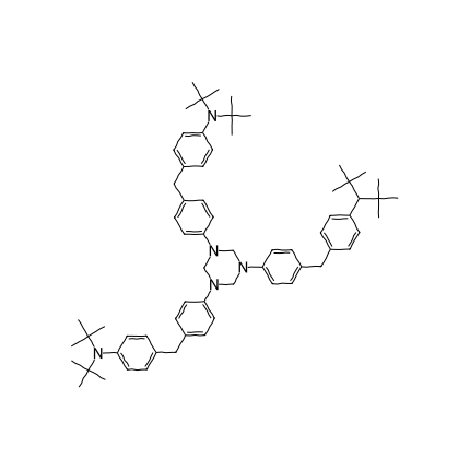 CC(C)(C)C(c1ccc(Cc2ccc(N3CN(c4ccc(Cc5ccc(N(C(C)(C)C)C(C)(C)C)cc5)cc4)CN(c4ccc(Cc5ccc(N(C(C)(C)C)C(C)(C)C)cc5)cc4)C3)cc2)cc1)C(C)(C)C